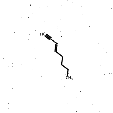 C#C/C=C/CCCC